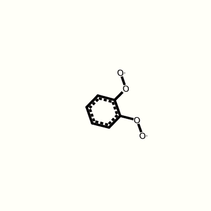 [O]Oc1ccccc1O[O]